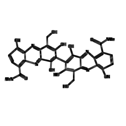 CNC(=O)c1ccc(O)c2nc3c(CO)c(O)c(-c4c(O)c(CO)c5nc6c(O)ccc(C(=O)NC)c6nc5c4O)c(O)c3nc12